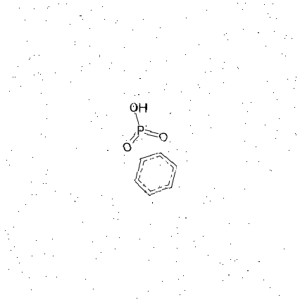 O=P(=O)O.c1ccccc1